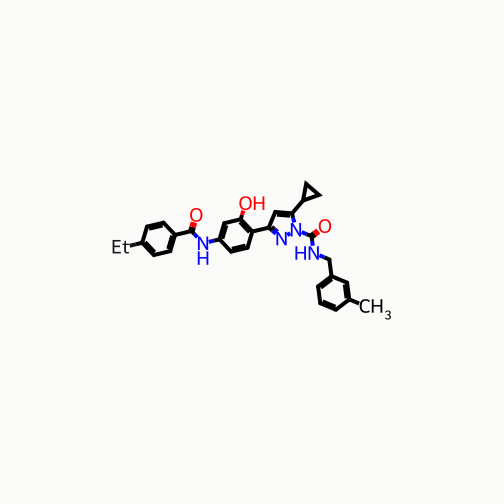 CCc1ccc(C(=O)Nc2ccc(-c3cc(C4CC4)n(C(=O)NCc4cccc(C)c4)n3)c(O)c2)cc1